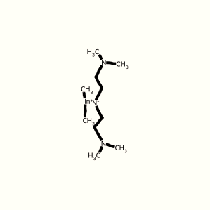 CN(C)CC[N-]CCN(C)C.[CH3][In+][CH3]